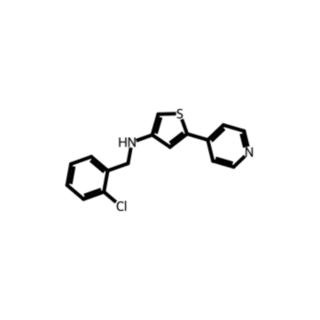 Clc1ccccc1CNc1csc(-c2ccncc2)c1